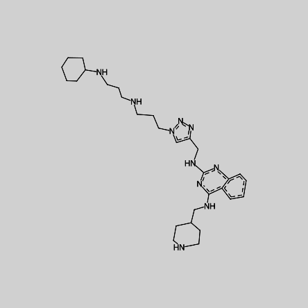 c1ccc2c(NCC3CCNCC3)nc(NCc3cn(CCCNCCCNC4CCCCC4)nn3)nc2c1